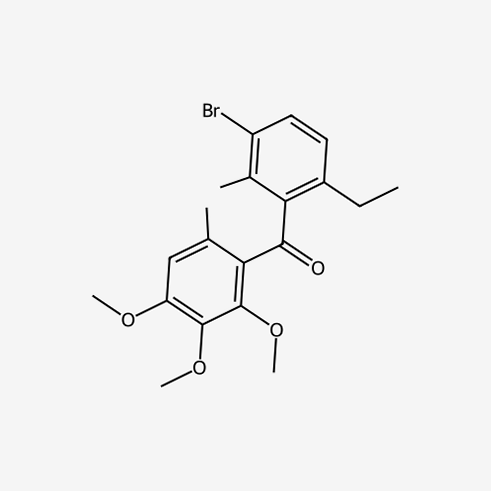 CCc1ccc(Br)c(C)c1C(=O)c1c(C)cc(OC)c(OC)c1OC